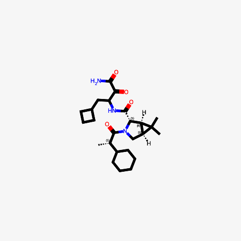 C[C@H](C(=O)N1C[C@H]2[C@@H]([C@H]1C(=O)NC(CC1CCC1)C(=O)C(N)=O)C2(C)C)C1CCCCC1